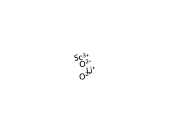 [Li+].[O-2].[O-2].[Sc+3]